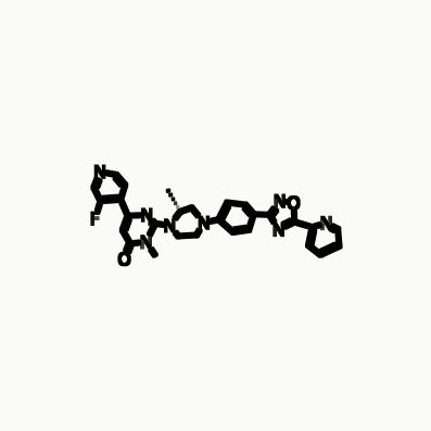 C[C@@H]1CN(c2ccc(-c3noc(-c4ccccn4)n3)cc2)CCN1c1nc(-c2ccncc2F)cc(=O)n1C